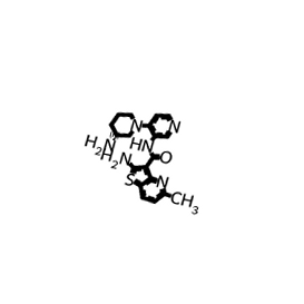 Cc1ccc2sc(N)c(C(=O)Nc3cnccc3N3CCC[C@@H](N)C3)c2n1